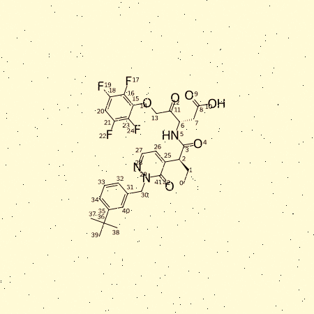 CC[C@H](C(=O)N[C@@H](CC(=O)O)C(=O)COc1c(F)c(F)cc(F)c1F)c1ccnn(Cc2cccc(C(C)(C)C)c2)c1=O